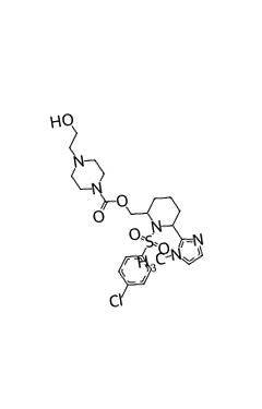 Cn1ccnc1C1CCCC(COC(=O)N2CCN(CCO)CC2)N1S(=O)(=O)c1ccc(Cl)cc1